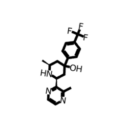 Cc1nccnc1[C@@H]1CC(O)(c2ccc(C(F)(F)F)cc2)C[C@H](C)N1